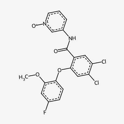 COc1cc(F)ccc1Oc1cc(Cl)c(Cl)cc1C(=O)Nc1ccc[n+]([O-])c1